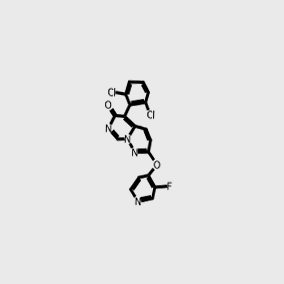 O=c1ncn2nc(Oc3ccncc3F)ccc2c1-c1c(Cl)cccc1Cl